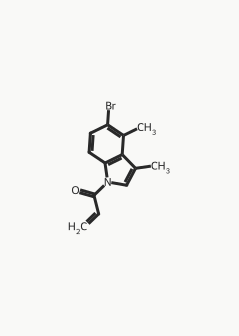 C=CC(=O)n1cc(C)c2c(C)c(Br)ccc21